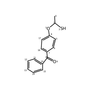 CC(S)Oc1ccc(C(=O)c2ccccc2)cc1